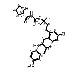 COc1ccc(NC(Cc2ccc(Cl)cc2CCC(C)(C)OC(=O)NC(=O)[C@@H]2CCCN2)C(F)F)cc1